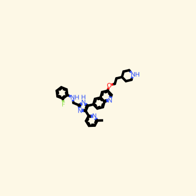 Cc1cccc(-c2nc(CNc3ccccc3F)[nH]c2-c2ccc3ncc(OCCC4CCNCC4)cc3c2)n1